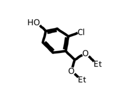 CCOC(OCC)c1ccc(O)cc1Cl